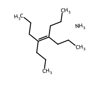 CCCC(CCC)=C(CCC)CCC.N